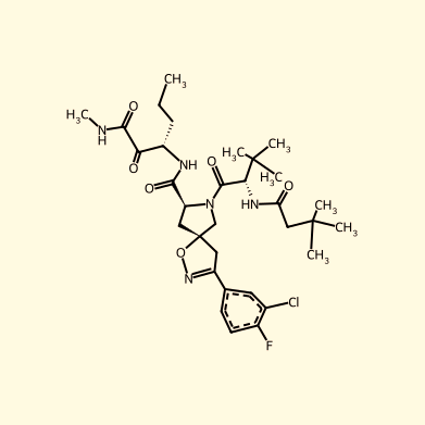 CCC[C@H](NC(=O)[C@@H]1C[C@]2(CC(c3ccc(F)c(Cl)c3)=NO2)CN1C(=O)[C@@H](NC(=O)CC(C)(C)C)C(C)(C)C)C(=O)C(=O)NC